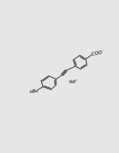 CCCCc1ccc(C#Cc2ccc(C(=O)[O-])cc2)cc1.[Na+]